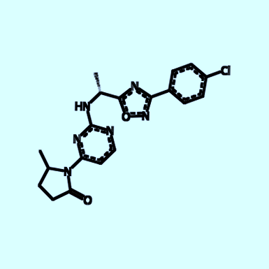 CC1CCC(=O)N1c1ccnc(N[C@H](C)c2nc(-c3ccc(Cl)cc3)no2)n1